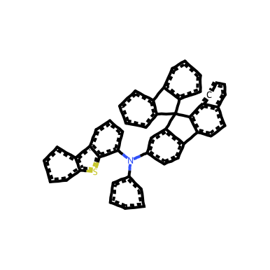 c1ccc(N(c2ccc3c(c2)C2(c4ccccc4-c4ccccc42)c2c-3ccc3ccccc23)c2cccc3c2sc2ccccc23)cc1